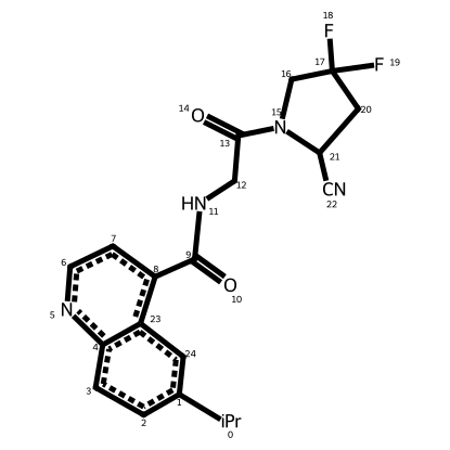 CC(C)c1ccc2nccc(C(=O)NCC(=O)N3CC(F)(F)CC3C#N)c2c1